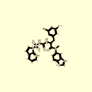 CN(C(=O)C(Cc1cc(F)cc(F)c1)NC(=O)NS(=O)(=O)n1ccc2cccnc21)c1ccc2scnc2c1